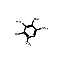 COc1cc([N+](=O)[O-])c(Br)c(OC)c1OC